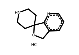 Cl.c1cnc2c(c1)COC21CCNCC1